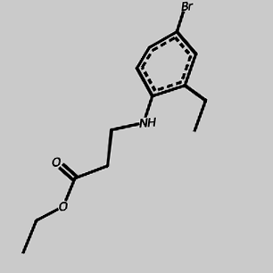 CCOC(=O)CCNc1ccc(Br)cc1CC